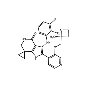 CCc1c(F)cccc1Nc1c(-c2ccncc2OC[C@@]2(C)CCO2)[nH]c2c1C(=O)NCC21CC1